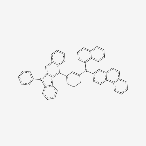 C1=C(c2c3ccccc3cc3c2c2ccccc2n3-c2ccccc2)C=C(N(c2ccc3c(ccc4ccccc43)c2)c2cccc3ccccc23)CC1